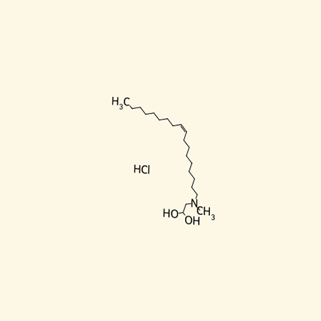 CCCCCCCC/C=C\CCCCCCCCN(C)CC(O)O.Cl